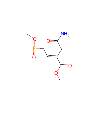 COC(=O)C(=CCP(C)(=O)OC)CC(N)=O